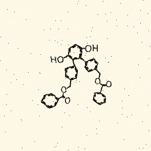 O=C(OCc1ccc(-c2c(O)ccc(O)c2-c2ccc(COC(=O)c3ccccc3)cc2)cc1)c1ccccc1